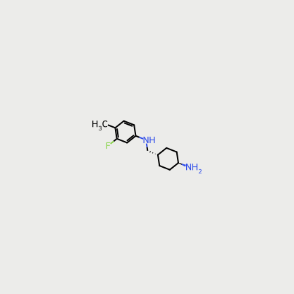 Cc1ccc(NC[C@H]2CC[C@H](N)CC2)cc1F